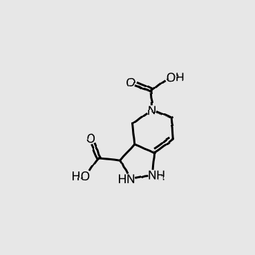 O=C(O)C1NNC2=CCN(C(=O)O)CC21